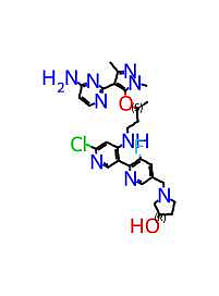 Cc1nn(C)c(O[C@@H](C)CCNc2cc(Cl)ncc2-c2ncc(CN3CC[C@@H](O)C3)cc2F)c1-c1nccc(N)n1